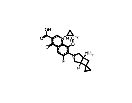 COc1c(N2C[C@H]3C4(CC4)C[C@@]3(N)C2)c(F)cc2c(=O)c(C(=O)O)cn([C@@H]3C[C@@H]3F)c12